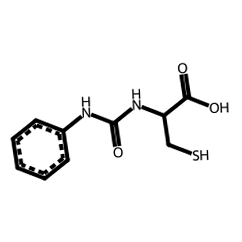 O=C(Nc1ccccc1)NC(CS)C(=O)O